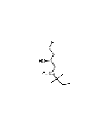 CC[C](C)(C)[Co](=[O])[CH2]C(O)CCF